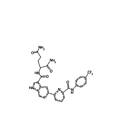 NC(=O)CCC(NC(=O)c1c[nH]c2ccc(-c3cccc(C(=O)Nc4ccc(C(F)(F)F)cc4)n3)cc12)C(N)=O